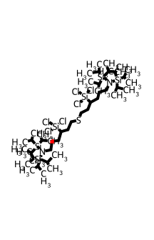 CC(C)[Si](C(C)C)(C(C)C)N(CCCC(CCSCCC(CCCN([Si](C(C)C)(C(C)C)C(C)C)[Si](C(C)C)(C(C)C)C(C)C)[Si](Cl)(Cl)Cl)[Si](Cl)(Cl)Cl)[Si](C(C)C)(C(C)C)C(C)C